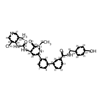 CCn1nc(-c2cccc(-c3cccc(C(=O)NCc4ccc(O)cc4)c3)c2)cc(NC(=O)Nc2c(C)cncc2Cl)c1=O